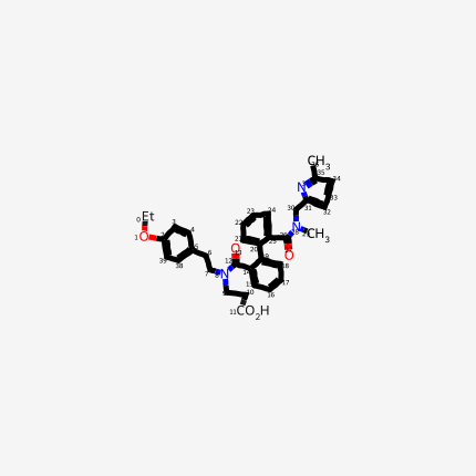 CCOc1ccc(CCN(CCC(=O)O)C(=O)c2ccccc2-c2ccccc2C(=O)N(C)Cc2cccc(C)n2)cc1